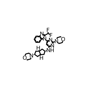 FC(F)c1nc2ccccc2n1-c1cc(N[C@H]2C[C@@H]3C[C@H](N4CCOCC4)C[C@@H]3C2)nc(N2CCOCC2)n1